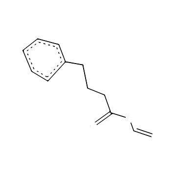 C=COC(=O)CCCc1ccccc1